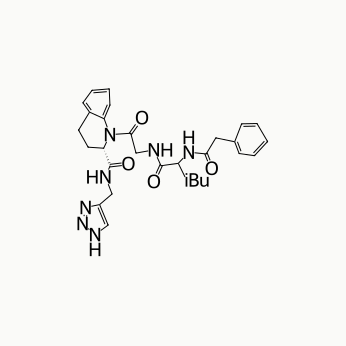 CCC(C)C(NC(=O)Cc1ccccc1)C(=O)NCC(=O)N1c2ccccc2CC[C@H]1C(=O)NCc1c[nH]nn1